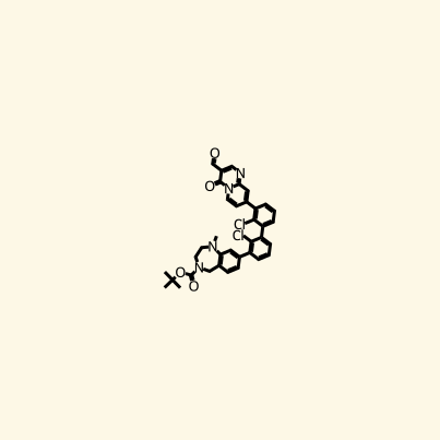 CN1CCN(C(=O)OC(C)(C)C)Cc2ccc(-c3cccc(-c4cccc(-c5ccn6c(=O)c(C=O)cnc6c5)c4Cl)c3Cl)cc21